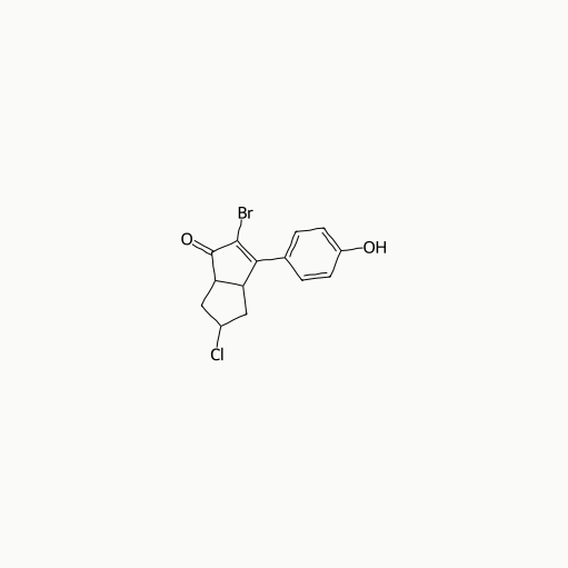 O=C1C(Br)=C(c2ccc(O)cc2)C2CC(Cl)CC12